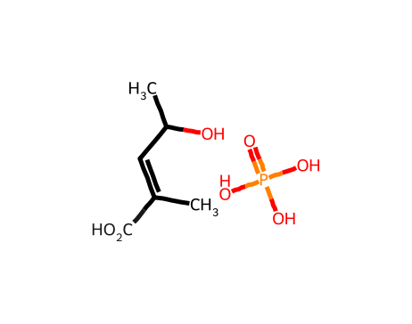 CC(=CC(C)O)C(=O)O.O=P(O)(O)O